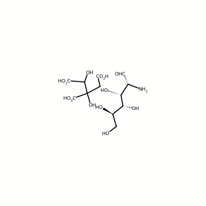 N[C@@H](C=O)[C@@H](O)[C@H](O)[C@H](O)CO.O=C(O)CC(O)(C(=O)O)C(O)C(=O)O